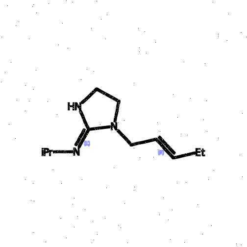 CC/C=C/CN1CCN/C1=N\C(C)C